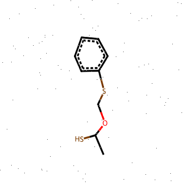 CC(S)OCSc1ccccc1